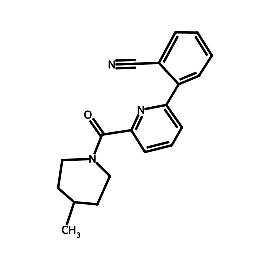 CC1CCN(C(=O)c2cccc(-c3ccccc3C#N)n2)CC1